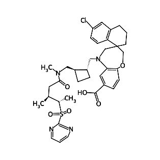 C[C@@H](CC(=O)N(C)C[C@@H]1CC[C@H]1CN1CC2(CCCc3cc(Cl)ccc32)COc2ccc(C(=O)O)cc21)[C@H](C)S(=O)(=O)c1ncccn1